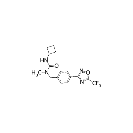 CN(Cc1ccc(-c2noc(C(F)(F)F)n2)cc1)C(=O)NC1CCC1